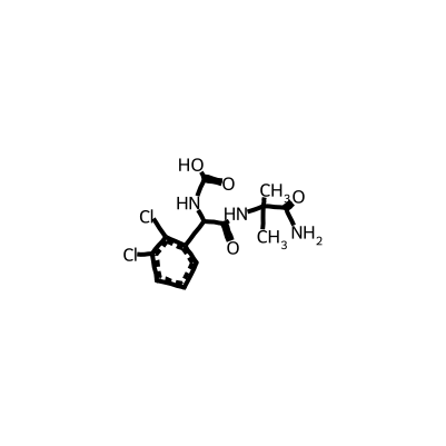 CC(C)(NC(=O)C(NC(=O)O)c1cccc(Cl)c1Cl)C(N)=O